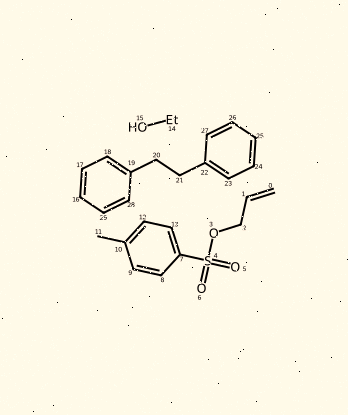 C=CCOS(=O)(=O)c1ccc(C)cc1.CCO.c1ccc(CCc2ccccc2)cc1